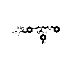 CCOC(Cc1ccc(OCCN(CCCOCc2ccccc2)C(=O)Nc2ccc(Br)cc2)cc1)C(=O)O